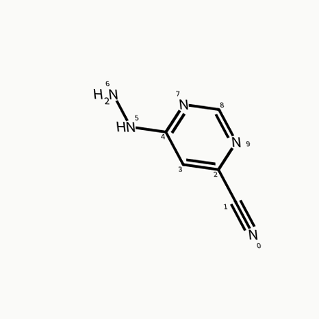 N#Cc1cc(NN)ncn1